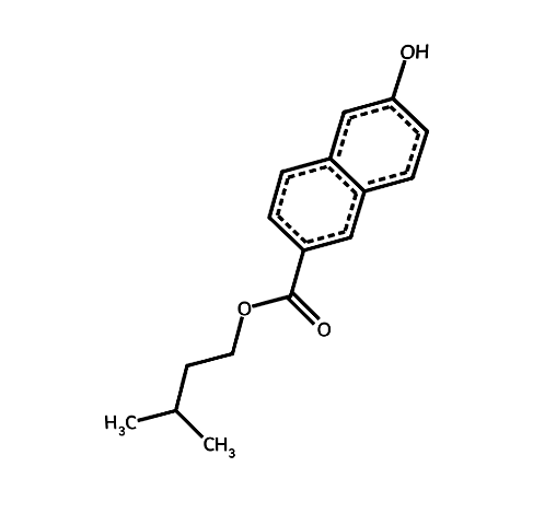 CC(C)CCOC(=O)c1ccc2cc(O)ccc2c1